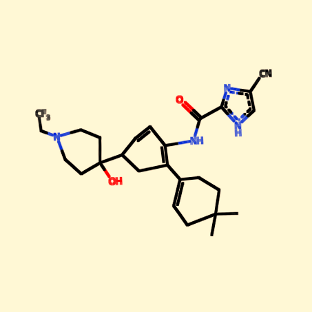 CC1(C)CC=C(C2=C(NC(=O)c3nc(C#N)c[nH]3)C=CC(C3(O)CCN(CC(F)(F)F)CC3)C2)CC1